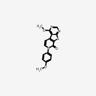 COc1ccc(-n2ccc3c(sc4ncnc(OC)c43)c2=O)cc1